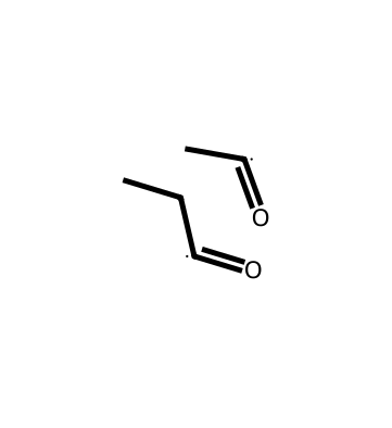 CC[C]=O.C[C]=O